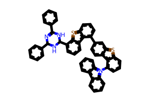 c1ccc(C2=NC(c3ccccc3)NC(c3cccc4c3sc3cccc(-c5ccc6c(c5)sc5cccc(-n7c8ccccc8c8ccccc87)c56)c34)N2)cc1